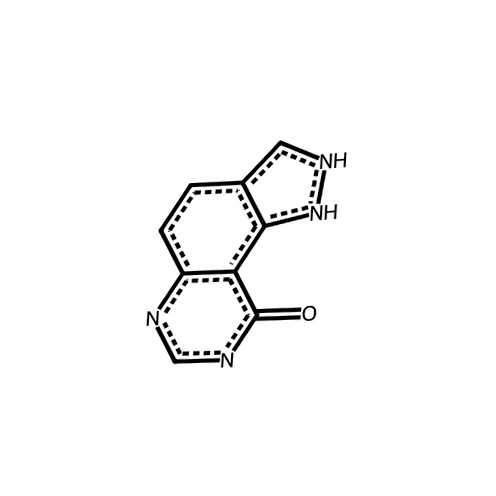 O=c1ncnc2ccc3c[nH][nH]c3c12